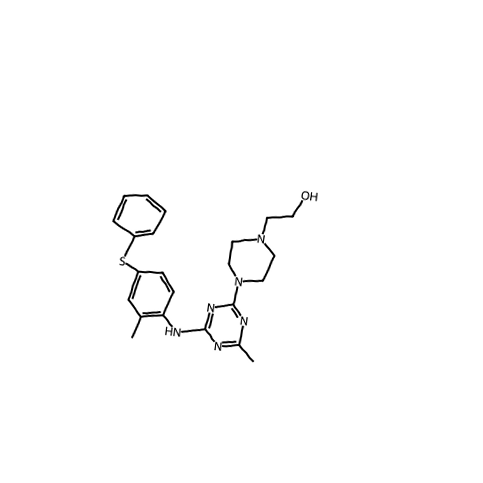 Cc1nc(Nc2ccc(Sc3ccccc3)cc2C)nc(N2CCN(CCO)CC2)n1